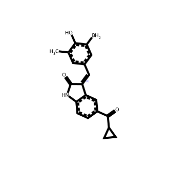 Bc1cc(/C=C2\C(=O)Nc3ccc(C(=O)C4CC4)cc32)cc(C)c1O